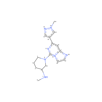 CNC1CCCN(c2nc(-c3cnn(C)c3)cc3nccn23)C1